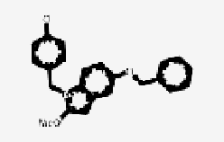 COc1cc2cc(OCc3ccccc3)ccc2n1Cc1ccc(Cl)cc1